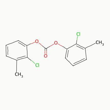 Cc1cccc(OC(=O)Oc2cccc(C)c2Cl)c1Cl